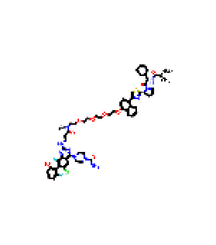 CN[C@@H](C)C(=O)N[C@H](C(=O)N1CCC[C@H]1c1nc(-c2ccc(OCCOCCOCCOCCN(C)C(=O)CCNc3nc(N4CCN(C(N)=O)CC4)c4cc(Cl)c(-c5c(O)cccc5F)c(F)c4n3)c3ccccc23)cs1)C1CCCCC1